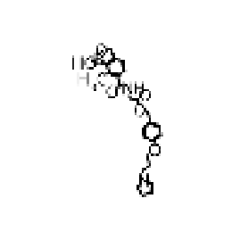 Cc1c(C(=O)NCC(=O)OCc2ccc(OCCCN3CCCC3)cc2)ccc2c1B(O)OC2